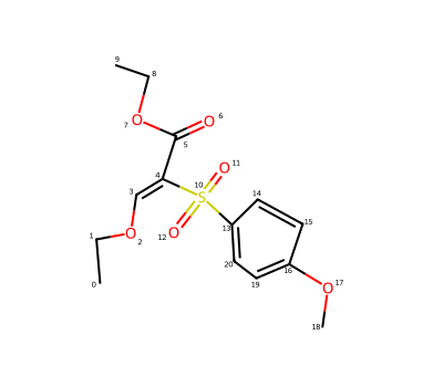 CCO/C=C(/C(=O)OCC)S(=O)(=O)c1ccc(OC)cc1